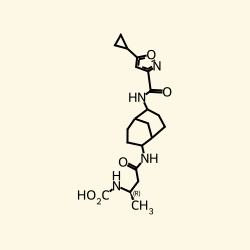 C[C@H](CC(=O)NC1CCC2CC1CCC2NC(=O)c1cc(C2CC2)on1)NC(=O)O